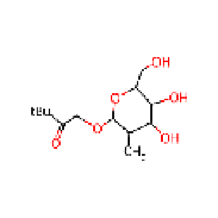 CC1C(OCC(=O)C(C)(C)C)OC(CO)C(O)C1O